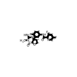 CN1C(=N)NC2(c3cc(NC(=O)c4ncc(F)cc4F)ccc3F)CCOC2[S+]1[O-]